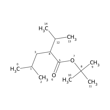 CC(C)CC(C(=O)OC(C)(C)C)C(C)C